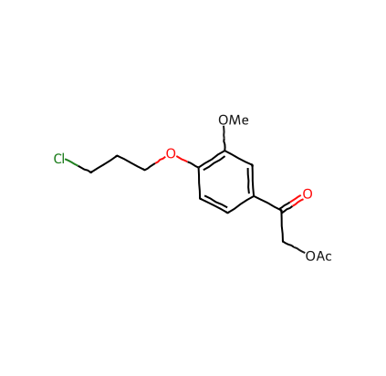 COc1cc(C(=O)COC(C)=O)ccc1OCCCCl